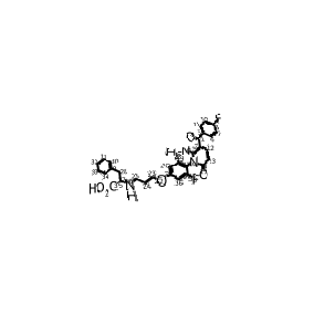 Nc1c(C(=O)c2ccc(F)cc2)ccc(=O)n1-c1c(F)cc(OCCCN[C@@H](Cc2ccccc2)C(=O)O)cc1F